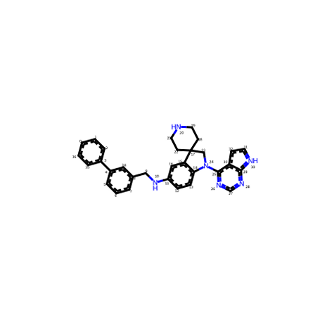 c1ccc(-c2cccc(CNc3ccc4c(c3)C3(CCNCC3)CN4c3ncnc4[nH]ccc34)c2)cc1